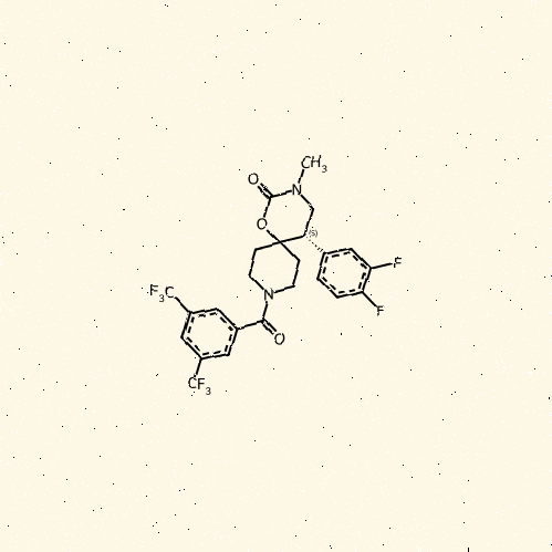 CN1C[C@H](c2ccc(F)c(F)c2)C2(CCN(C(=O)c3cc(C(F)(F)F)cc(C(F)(F)F)c3)CC2)OC1=O